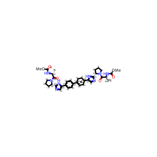 COC(=O)N[C@H](C(=O)N1CCC[C@H]1c1ncc(C23CCC(c4ccc(-c5cnc([C@@H]6CCCN6C(=O)[C@@H](C)NC(=O)OC)[nH]5)cc4)(CC2)CC3)[nH]1)C(C)C